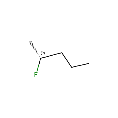 CCC[C@@H](C)F